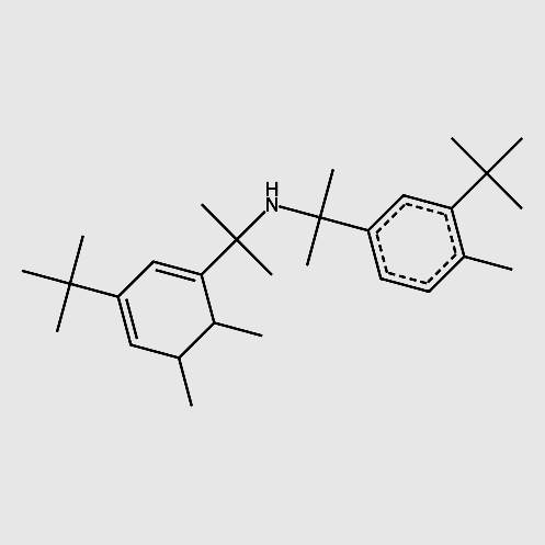 Cc1ccc(C(C)(C)NC(C)(C)C2=CC(C(C)(C)C)=CC(C)C2C)cc1C(C)(C)C